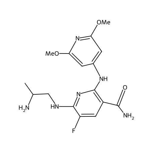 COc1cc(Nc2nc(NCC(C)N)c(F)cc2C(N)=O)cc(OC)n1